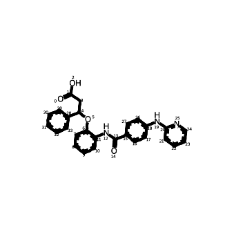 O=C(O)CC(Oc1ccccc1NC(=O)c1ccc(Nc2ccccn2)cc1)c1ccccc1